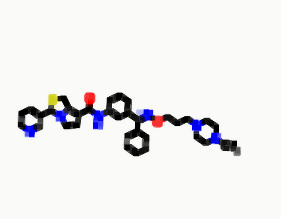 CN1CCN(CCCO/N=C(\c2ccccc2)c2cccc(NC(=O)c3ccn4c3CSC4c3cccnc3)c2)CC1